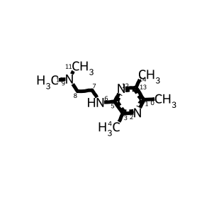 Cc1nc(C)c(NCCN(C)C)nc1C